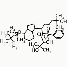 CC(C)(O)CCC[C@H](C1CCC2[C@@H](O[Si](C)(C)C(C)(C)C)CCC[C@]12C)C(CC(O)C(C)(C)O)S(=O)(=O)c1ccccc1